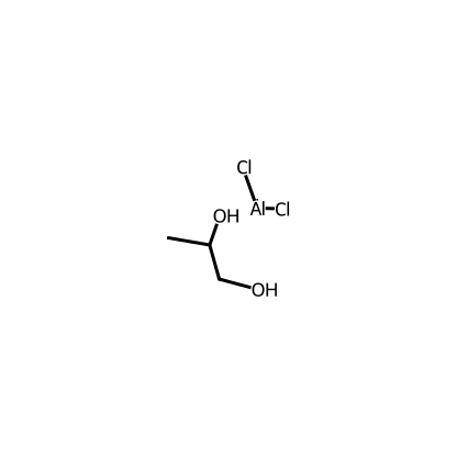 CC(O)CO.[Cl][Al][Cl]